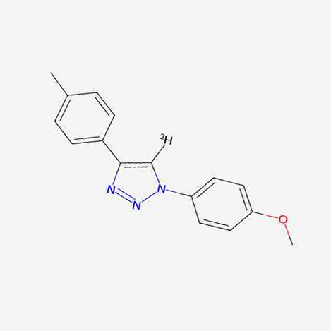 [2H]c1c(-c2ccc(C)cc2)nnn1-c1ccc(OC)cc1